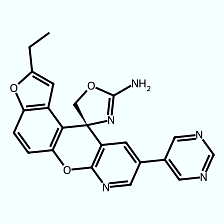 CCc1cc2c3c(ccc2o1)Oc1ncc(-c2cncnc2)cc1[C@]31COC(N)=N1